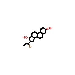 CCC(Br)[C@@H]1CC2C3CCc4cc(O)ccc4C3CC[C@]2(C)[C@H]1O